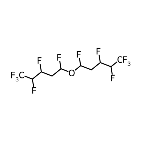 FC(CC(F)C(F)C(F)(F)F)OC(F)CC(F)C(F)C(F)(F)F